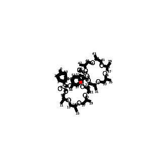 Cc1ccc(S(=O)(=O)OCC(C)OCC(C)OCC(C)OCC(C)OCC(C)OCC(C)OCC(C)OCC(C)OCC(C)OCC(C)OS(=O)(=O)c2ccc(C)cc2)cc1